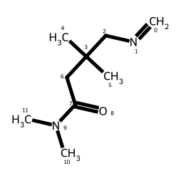 C=NCC(C)(C)CC(=O)N(C)C